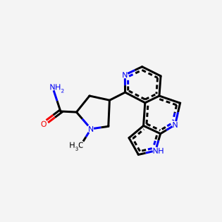 CN1CC(c2nccc3cnc4[nH]ccc4c23)CC1C(N)=O